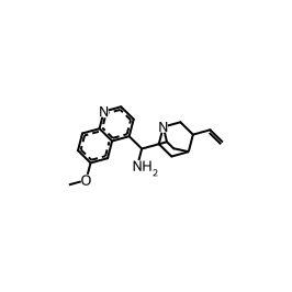 C=CC1CN2CCC1CC2C(N)c1ccnc2ccc(OC)cc12